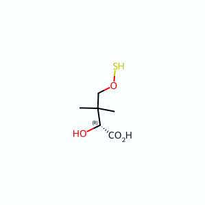 CC(C)(COS)[C@@H](O)C(=O)O